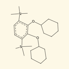 C[Si](C)(C)c1ccc([Si](C)(C)C)c(OC2CCCCC2)c1OC1CCCCC1